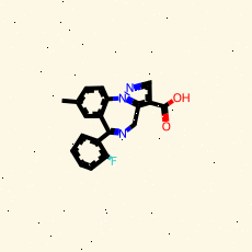 Cc1ccc2c(c1)C(c1ccccc1F)=NCc1c(C(=O)O)cnn1-2